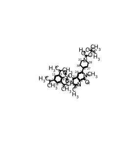 Cc1nc(OS(=O)(=O)c2c(C(C)C)cc(C(C)C)cc2C(C)C)c2cc(C3=CCN(C(=O)OC(C)(C)C)CC3)n(C)c(=O)c2n1